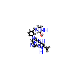 O=C1CN(Cc2cccc(N3C=C(Nc4cc(C5CC5)[nH]n4)[N+]4C=CN=C4C3)c2)CCN1